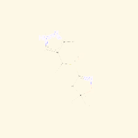 CC(c1c[nH]nc1C(F)(F)F)[S+]([O-])C1=NOC(C)(C)C1